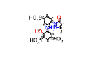 Cc1cc(=O)n(-c2ccc(S(=O)(=O)O)cc2)[nH]1.Nc1cc([N+](=O)[O-])cc(S(=O)(=O)O)c1O